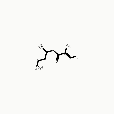 CC/C=C(\C)C(=O)NC(CCC(=O)O)C(=O)O